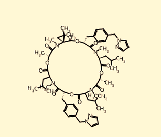 CC(C)CC1C(=O)O[C@H](Cc2ccc(Cn3cccn3)cc2)C(=O)N(C)C(CC(C)C)C(=O)O[C@H](C)C(=O)N(C)[C@@]2(CC2(C)C)C(=O)O[C@H](Cc2ccc(Cn3cccn3)cc2)C(=O)N(C)[C@@H](CC(C)C)C(=O)O[C@H](C)C(=O)N1C